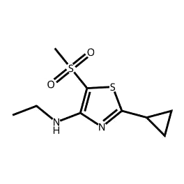 CCNc1nc(C2CC2)sc1S(C)(=O)=O